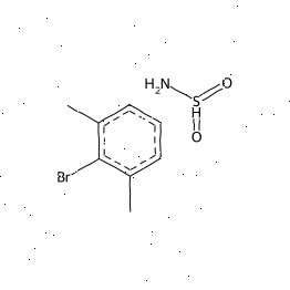 Cc1cccc(C)c1Br.N[SH](=O)=O